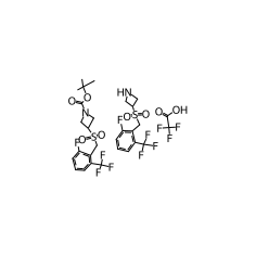 CC(C)(C)OC(=O)N1CC(S(=O)(=O)Cc2c(F)cccc2C(F)(F)F)C1.O=C(O)C(F)(F)F.O=S(=O)(Cc1c(F)cccc1C(F)(F)F)C1CNC1